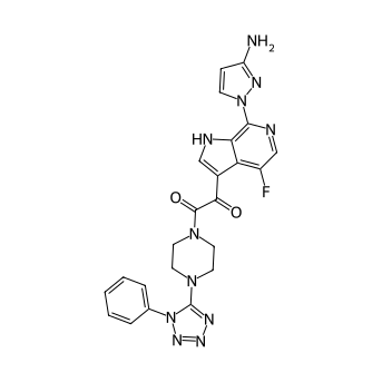 Nc1ccn(-c2ncc(F)c3c(C(=O)C(=O)N4CCN(c5nnnn5-c5ccccc5)CC4)c[nH]c23)n1